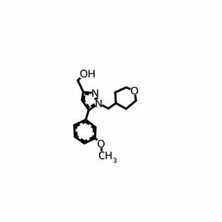 COc1cccc(-c2cc(CO)nn2CC2CCOCC2)c1